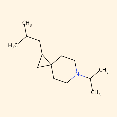 CC(C)CC1CC12CCN(C(C)C)CC2